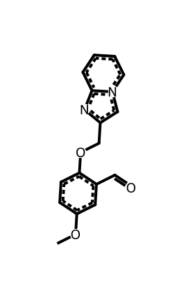 COc1ccc(OCc2cn3ccccc3n2)c(C=O)c1